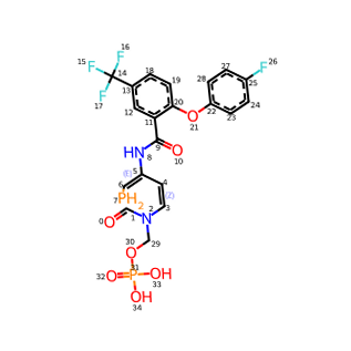 O=CN(/C=C\C(=C/P)NC(=O)c1cc(C(F)(F)F)ccc1Oc1ccc(F)cc1)COP(=O)(O)O